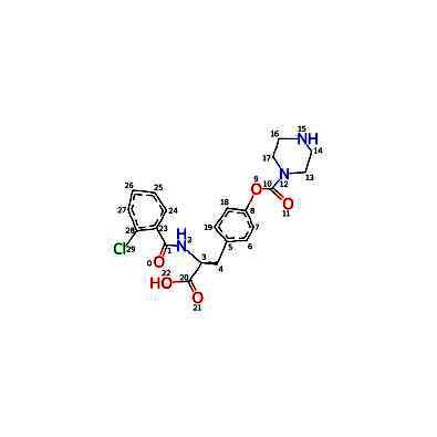 O=C(N[C@@H](Cc1ccc(OC(=O)N2CCNCC2)cc1)C(=O)O)c1ccccc1Cl